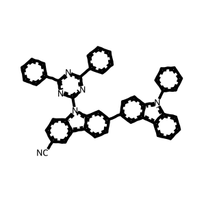 N#Cc1ccc2c(c1)c1ccc(-c3ccc4c(c3)c3ccccc3n4-c3ccccc3)cc1n2-c1nc(-c2ccccc2)nc(-c2ccccc2)n1